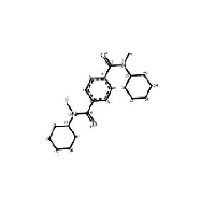 CN(C(=O)c1ccc(C(=O)N(I)C2CCCCC2)cc1)C1CCCCC1